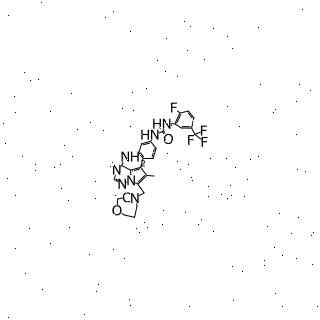 Cc1c(-c2ccc(NC(=O)Nc3cc(C(F)(F)F)ccc3F)cc2)c2c(N)ncnn2c1CN1CCCOCC1